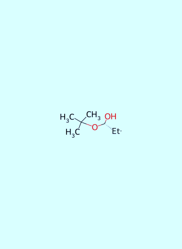 C[CH][C@@H](O)OC(C)(C)C